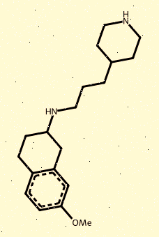 COc1ccc2c(c1)CC(NCCCC1CCNCC1)CC2